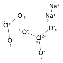 [Na+].[Na+].[O-][Cl+2]([O-])[O-].[O-][Cl+][O-]